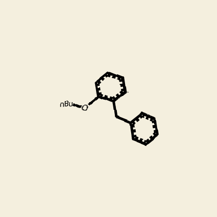 CCCCOc1ccc[c]c1Cc1ccccc1